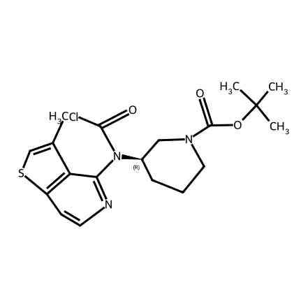 Cc1csc2ccnc(N(C(=O)Cl)[C@@H]3CCCN(C(=O)OC(C)(C)C)C3)c12